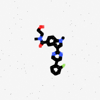 CN(CCO)C(=O)c1ccc2c(c1)c(-c1ncc(-c3ccccc3F)cn1)cn2C